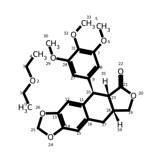 CCOCC.COc1cc([C@@H]2c3cc4c(cc3C[C@H]3COC(=O)[C@H]32)OCO4)cc(OC)c1OC